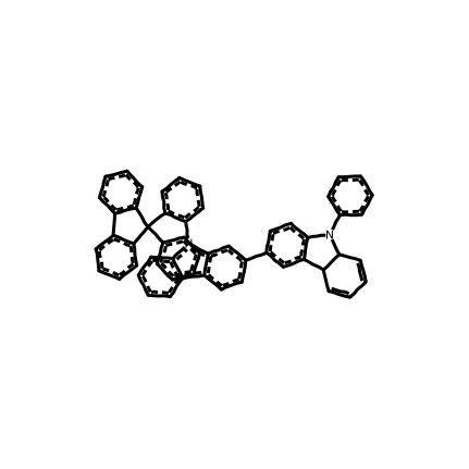 C1=CC2c3cc(-c4ccc5c6ccccc6n(-c6ccccc6C6(c7ccccc7)c7ccccc7-c7ccccc76)c5c4)ccc3N(c3ccccc3)C2C=C1